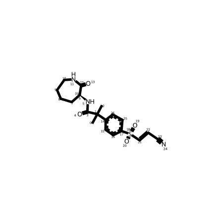 CC(C)(C(=O)N[C@H]1CCCCNC1=O)c1ccc(S(=O)(=O)C=CC#N)cc1